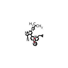 CC(C)C1CN(c2cc(-c3ccc(N4CC5CC(C4)N5Cc4ccc(CC5CC5)nc4)nc3)c3c(C#N)cnn3c2)C1